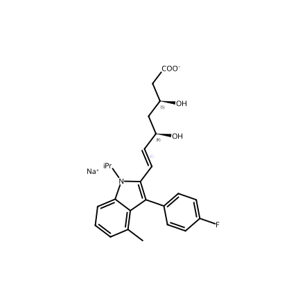 Cc1cccc2c1c(-c1ccc(F)cc1)c(/C=C/[C@H](O)C[C@H](O)CC(=O)[O-])n2C(C)C.[Na+]